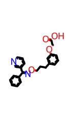 O=C(O)COc1cccc(CCCO/N=C(/c2ccccc2)c2cccnc2)c1